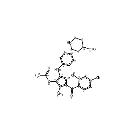 Nc1c(C(=O)c2ccc(Cl)cc2Cl)sc(Nc2ccccc2)c1OC(=O)C(F)(F)F.O=CN1CCNCC1